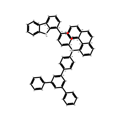 c1ccc(-c2cc(-c3ccccc3)cc(-c3ccc(N(c4ccc(-c5cccc6c5sc5ccccc56)cc4)c4cccc5ccc6ccccc6c45)cc3)c2)cc1